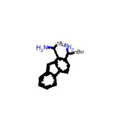 CCCCC(N)c1ccc2c(c1C(N)CCCC)Cc1ccccc1-2